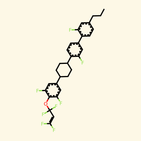 CCCc1ccc(-c2ccc(C3CCC(c4cc(F)c(OC(F)(F)C=C(F)F)c(F)c4)CC3)c(F)c2)c(F)c1